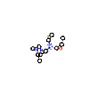 c1ccc(-c2ccc(-n3c4ccccc4c4cccc(-n5c6ccccc6c6ccc(-c7nc(-c8ccc9oc%10ccc(-c%11ccccc%11)cc%10c9c8)nc(-c8ccc9sc%10ccccc%10c9c8)n7)cc65)c43)cc2)cc1